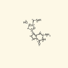 Nc1nc2c(ncn2[C@H]2C[C@H](O)[C@@H](C[SeH])O2)c(=O)[nH]1